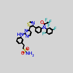 NS(=O)(=O)CCc1cccc(Nc2nccc(-c3scnc3-c3cccc(N(C(=O)C(F)(F)F)c4cc(F)ccc4F)c3)n2)c1